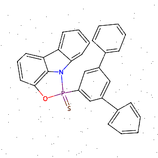 S=P1(c2cc(-c3ccccc3)cc(-c3ccccc3)c2)Oc2cccc3c4ccccc4n1c23